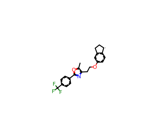 Cc1oc(-c2ccc(C(F)(F)F)cc2)nc1CCOc1ccc2c(c1)CC[CH]2